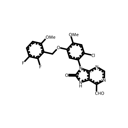 COc1cc(Cl)c(-n2c(=O)[nH]c3c(C=O)ncnc32)cc1OCc1c(OC)ccc(F)c1F